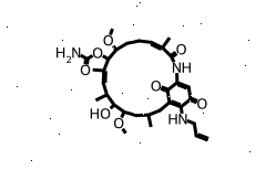 C=CCNC1=C2CC(C)CC(OC)C(O)C(C)C=C(C)C(OC(N)=O)C(OC)CCC=C(C)C(=O)NC(=CC1=O)C2=O